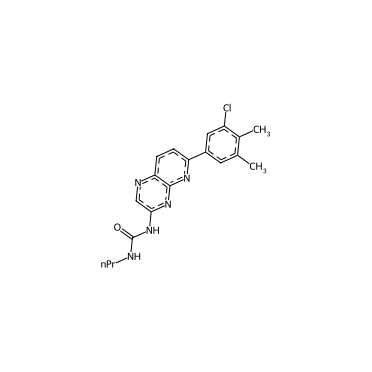 CCCNC(=O)Nc1cnc2ccc(-c3cc(C)c(C)c(Cl)c3)nc2n1